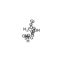 Cc1cc(OCC23CC4CC(CC(C4)C2)C3)ccc1-c1ccc(N2CCc3cccc(C(=O)Nc4nc5ccccc5s4)c3C2)nc1C(=O)O